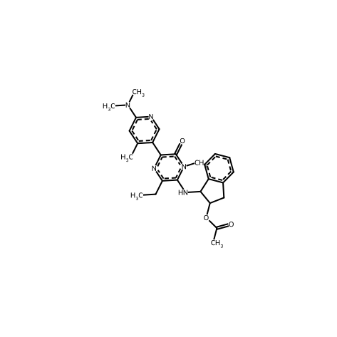 CCc1nc(-c2cnc(N(C)C)cc2C)c(=O)n(C)c1NC1c2ccccc2CC1OC(C)=O